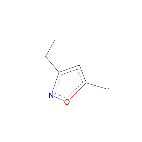 [CH2]c1cc(CC)no1